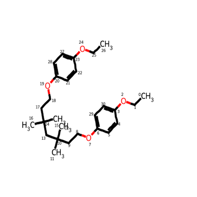 CCOc1ccc(OCCC(C)(C)CC(C)(C)CCOc2ccc(OCC)cc2)cc1